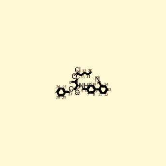 CC(C)[C@H](NCc1ccc(-c2ccccc2C#N)cc1)C(=O)OCc1ccccc1.CCCCC(=O)Cl